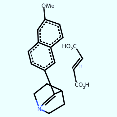 COc1ccc2cc(C3=CN4CCC3CC4)ccc2c1.O=C(O)/C=C/C(=O)O